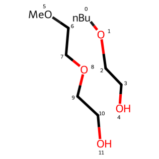 CCCCOCCO.COCCOCCO